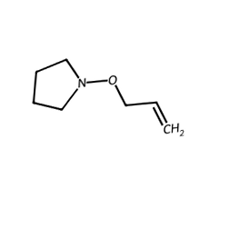 C=CCON1CCCC1